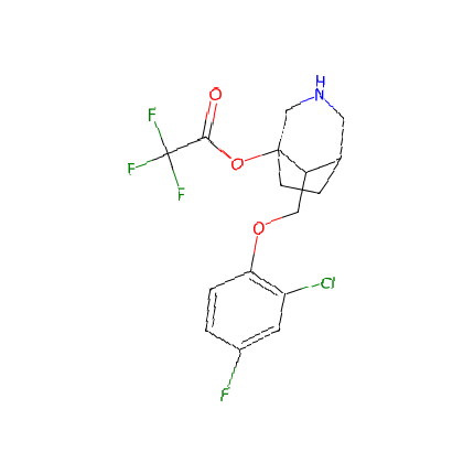 O=C(OC12CCC(CNC1)C2COc1ccc(F)cc1Cl)C(F)(F)F